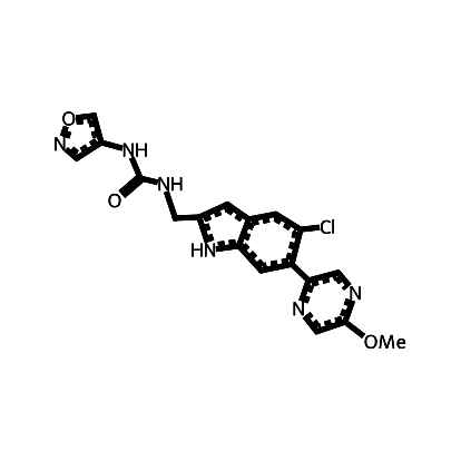 COc1cnc(-c2cc3[nH]c(CNC(=O)Nc4cnoc4)cc3cc2Cl)cn1